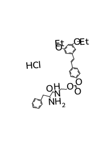 CCOc1cc(C=Cc2ccc(OC(=O)OCCNC(=O)C(N)Cc3ccccc3)cc2)cc(OCC)c1.Cl